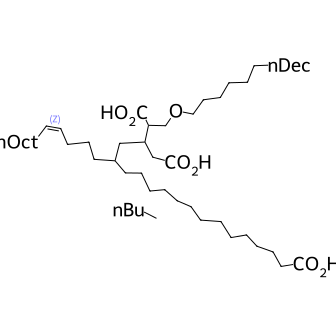 CCCCC.CCCCCCCC/C=C\CCCC(CCCCCCCCCCCCCC(=O)O)CC(CC(=O)O)C(COCCCCCCCCCCCCCCCC)C(=O)O